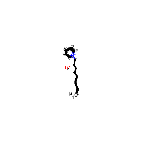 CCCCCCCC[n+]1ccccc1.[OH-]